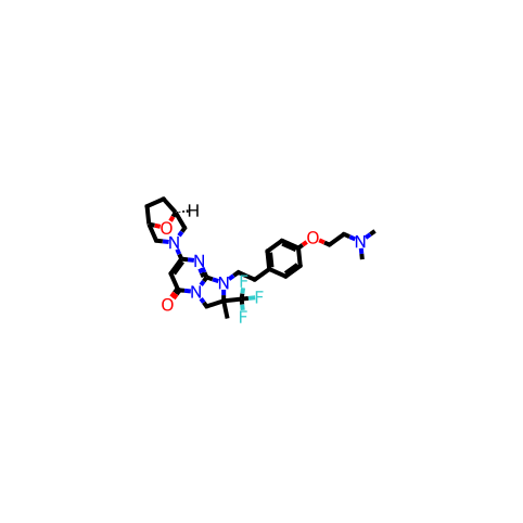 CN(C)CCOc1ccc(CCN2c3nc(N4CC5CC[C@@H](C4)O5)cc(=O)n3CC2(C)C(F)(F)F)cc1